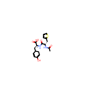 CC(=O)N[C@@H](Cc1cccs1)C(=O)N[C@@H](CC1C=CC(O)=CC1)C(=O)O